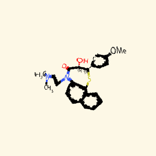 COc1ccc([C@@H]2Sc3c(ccc4ccccc34)N(CCN(C)C)C(=O)[C@@H]2O)cc1